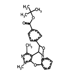 Cc1nn(C)c(Oc2ccccc2)c1C1NOC1c1ccc(C(=O)OC(C)(C)C)cc1